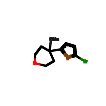 COC1(c2ccc(Br)s2)CCOCC1